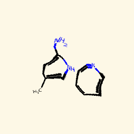 Cc1c[nH]c(N)c1.c1ccncc1